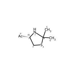 CC(=O)[C@H]1CSC(C)(C)N1